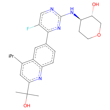 CC(C)c1cc(C(C)(C)O)nc2ccc(-c3nc(N[C@@H]4CCOC[C@H]4O)ncc3F)cc12